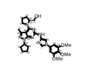 COc1cc(-n2cnc(Nc3nc(N4CCC[C@H]4CO)c4c(C)nn(C5CCCC5)c4n3)c2)cc(OC)c1OC